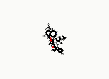 COC(=O)NC1C(=O)C[C@H](O)/C(=C/CSC(C)=O)C2=C1C#C/C=C\C#C[C@@H]2OC1OC(C)C(SC)(C(=O)c2nccc3c2[nH]c2ccc(O)cc23)CC1OC1CC(OC)C(NC(C)C)CO1